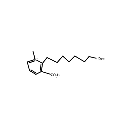 CCCCCCCCCCCCCCCCCc1c(C(=O)O)ccc[n+]1C